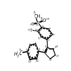 Cc1ccc(C2=C(c3ccc(S(C)(=O)=O)c(F)c3)CCC2)cc1